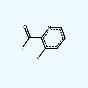 O=C(I)c1ncccc1F